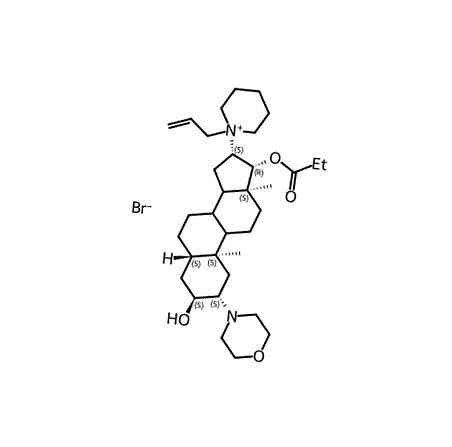 C=CC[N+]1([C@H]2CC3C4CC[C@H]5C[C@H](O)[C@@H](N6CCOCC6)C[C@]5(C)C4CC[C@]3(C)[C@H]2OC(=O)CC)CCCCC1.[Br-]